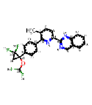 Cc1ccc(-c2ncc3ccccc3n2)nc1-c1ccc(C2(OC(F)F)CC2(F)F)cc1